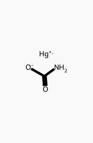 NC(=O)[O-].[Hg+]